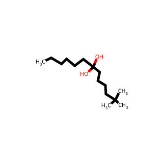 CCCCCCC(O)(O)CCCCC(C)(C)C